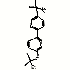 CCC(C)(C)Sc1ccc(-c2ccc(C(C)(C)CC)cc2)cc1